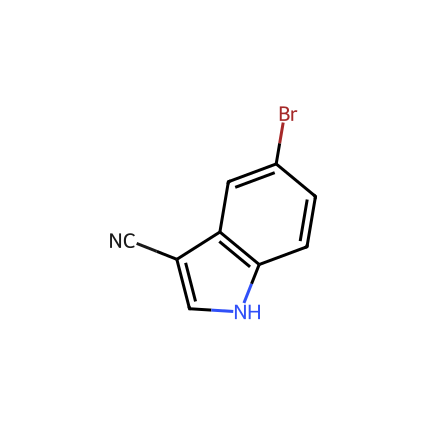 N#Cc1c[nH]c2ccc(Br)cc12